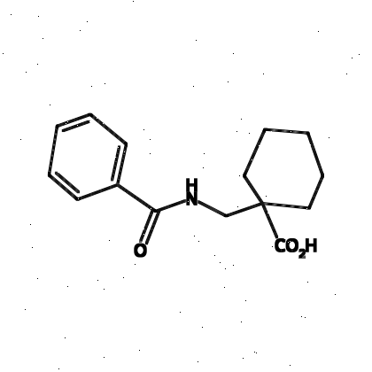 O=C(NCC1(C(=O)O)CCCCC1)c1ccccc1